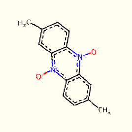 Cc1ccc2c(c1)[n+]([O-])c1ccc(C)cc1[n+]2[O-]